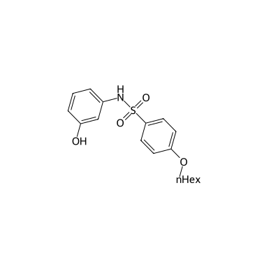 CCCCCCOc1ccc(S(=O)(=O)Nc2cccc(O)c2)cc1